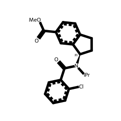 COC(=O)c1ccc2c(c1)[C@H](N(C(=O)c1ccccc1Cl)C(C)C)CC2